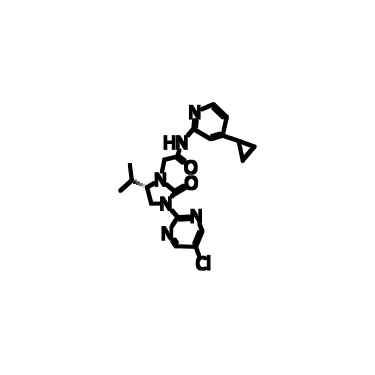 CC(C)[C@H]1CN(c2ncc(Cl)cn2)C(=O)N1CC(=O)Nc1cc(C2CC2)ccn1